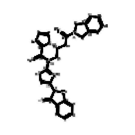 O=C1c2ccccc2OC1c1csc(N(CCCC(=O)N2Cc3ccccc3C2)C(=O)c2cccs2)n1